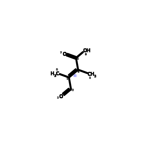 C/C([C]=O)=C(/C)C(=O)O